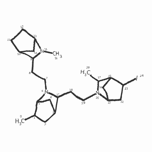 CC1CC2CC1N(CCC1C3CCC(C3)N1C)C2CCN1C2CC(I)C(C2)C1C